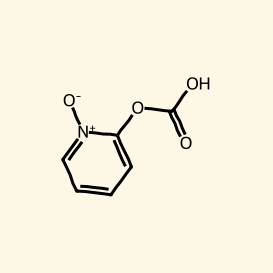 O=C(O)Oc1cccc[n+]1[O-]